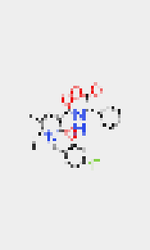 CCc1c(C)cc(C(=O)NC(C(=O)OC)c2ccccc2)c(=O)n1Cc1ccc(F)cc1